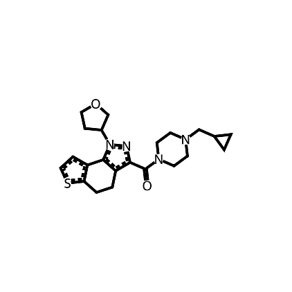 O=C(c1nn(C2CCOC2)c2c1CCc1sccc1-2)N1CCN(CC2CC2)CC1